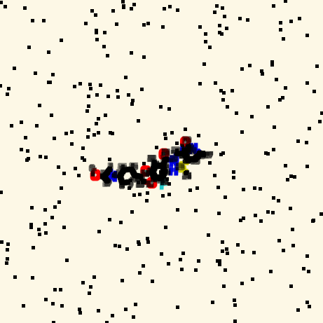 COC1CN([C@H]2CC[C@@H]([C@H]3COc4c(F)cc(C(=O)NCc5c(SC)cc(C)[nH]c5=O)c(C)c4O3)CC2)C1